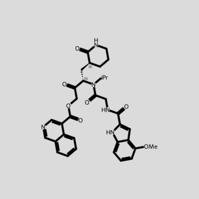 COc1cccc2[nH]c(C(=O)NCC(=O)N(C(C)C)[C@@H](C[C@@H]3CCCNC3=O)C(=O)COC(=O)c3cncc4ccccc34)cc12